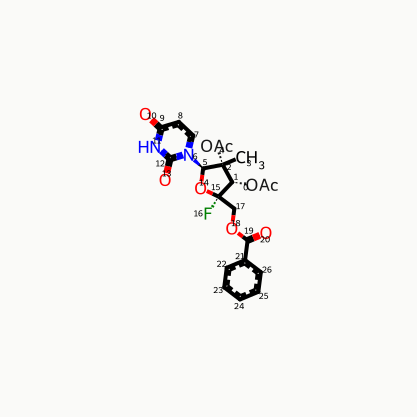 CC(=O)O[C@H]1[C@@](C)(OC(C)=O)[C@H](n2ccc(=O)[nH]c2=O)O[C@]1(F)COC(=O)c1ccccc1